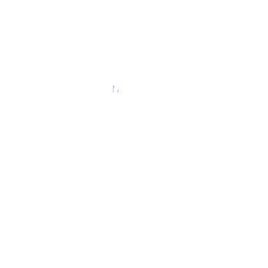 C=Cc1c(/C=C\C)/c(=C/C=C(C)C)c(=C)n1C